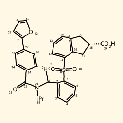 [2H]C(c1ccccc1S(=O)(=O)c1cccc2c1C[C@@H](C(=O)O)C2)N(C(=O)c1ccc(-c2ccco2)cc1)C(C)C